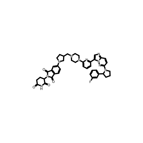 O=C1CCC(N2C(=O)c3ccc(N4CCC(CN5CCN(c6cccc(-c7cnc8ccc(N9CCCC9c9cccc(F)c9)nn78)n6)CC5)C4)cc3C2=O)C(=O)N1